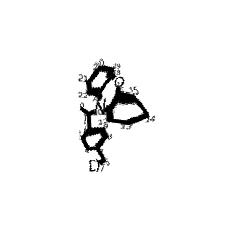 CC(c1ccc(CCl)cc1)N1c2ccccc2Oc2ccccc21